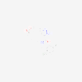 O=C(c1cc(C(F)(F)F)n[nH]1)N(CCC1CCS(=O)(=O)C1)Cc1cc(F)ccc1F